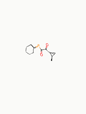 C[C@@H]1C=C1C(=O)C(=O)P=C1CCCCC1